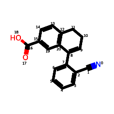 N#Cc1ccccc1C1=CCCc2ccc(C(=O)O)cc21